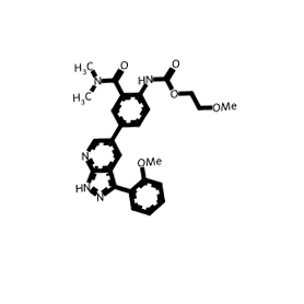 COCCOC(=O)Nc1ccc(-c2cnc3[nH]nc(-c4ccccc4OC)c3c2)cc1C(=O)N(C)C